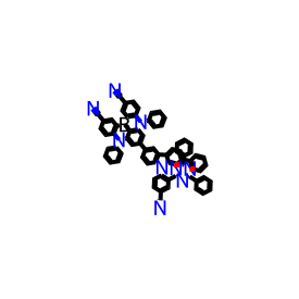 N#Cc1ccc2c(c1)B1c3cc(C#N)ccc3N(c3ccccc3)c3cc(-c4ccc5c(c4)c4ccc(-c6ccccc6)cc4n5-c4ccc(C#N)cc4-c4nc(-c5ccccc5)nc(-c5ccccc5)n4)cc(c31)N2c1ccccc1